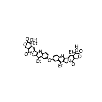 CCc1c2c(nc3ccc(Oc4ccc5nc6c(c(CC)c5c4)Cn4c-6cc5c(c4=O)COC(=O)[C@]5(O)CC)cc13)-c1cc3c(c(=O)n1C2)COC(=O)[C@]3(O)CC